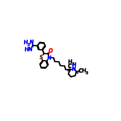 C[C@H]1CCC[C@@](C)(CCCCCCN2C(=O)C(c3cccc(C(=N)N)c3)Sc3ccccc32)N1